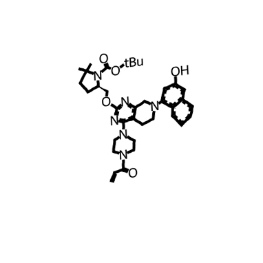 C=CC(=O)N1CCN(c2nc(OC[C@H]3CCC(C)(C)N3C(=O)OC(C)(C)C)nc3c2CCN(c2cc(O)cc4ccccc24)C3)CC1